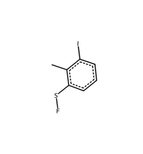 Cc1c(I)cccc1SF